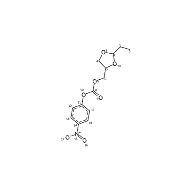 CCC1OCC(COC(=O)Oc2ccc([N+](=O)[O-])cc2)O1